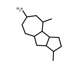 CC1CCC2C1CC1CCC(P)CC(C)C12